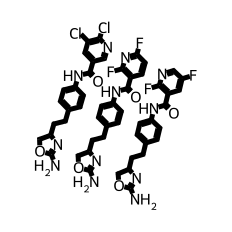 NC1=NC(CCc2ccc(NC(=O)c3cc(F)cnc3F)cc2)CO1.NC1=NC(CCc2ccc(NC(=O)c3ccc(F)nc3F)cc2)CO1.NC1=NC(CCc2ccc(NC(=O)c3cnc(Cl)c(Cl)c3)cc2)CO1